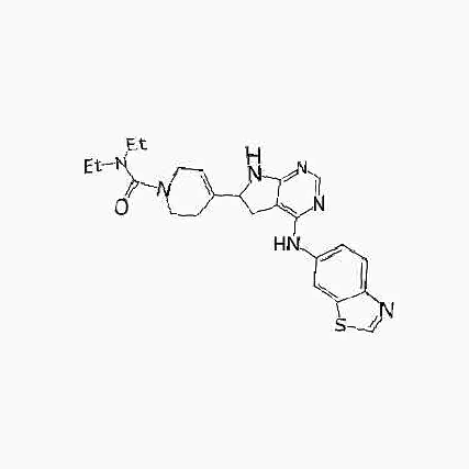 CCN(CC)C(=O)N1CC=C(C2Cc3c(Nc4ccc5ncsc5c4)ncnc3N2)CC1